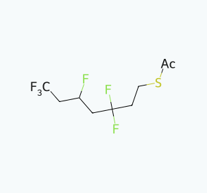 CC(=O)SCCC(F)(F)CC(F)CC(F)(F)F